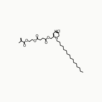 C=C(C)C(=O)OCCOC(=O)CCC(=O)OCC1=CC=CCN1CCCCCCCCCCCCCCCC.Cl